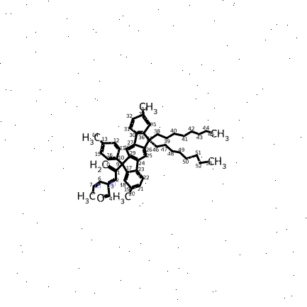 C=C(/C=C(C=O)\C=C/C)C1(c2ccc(C)cc2)c2cc(C)ccc2-c2cc3c(cc21)-c1ccc(C)cc1C3(CCCCCCCC)CCCCCCCC